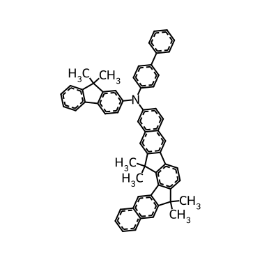 CC1(C)c2ccccc2-c2ccc(N(c3ccc(-c4ccccc4)cc3)c3ccc4cc5c(cc4c3)C(C)(C)c3c-5ccc4c3-c3cc5ccccc5cc3C4(C)C)cc21